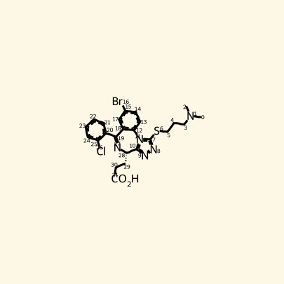 CN(C)CCCSc1nnc2n1-c1ccc(Br)cc1C(c1ccccc1Cl)=N[C@H]2CCC(=O)O